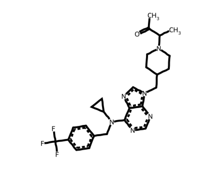 CC(=O)C(C)N1CCC(Cn2cnc3c(N(Cc4ccc(C(F)(F)F)cc4)C4CC4)ncnc32)CC1